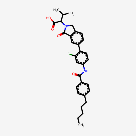 CCCCCc1ccc(C(=O)Nc2ccc(-c3ccc4c(c3)C(=O)N(C(C(=O)O)C(C)C)C4)c(F)c2)cc1